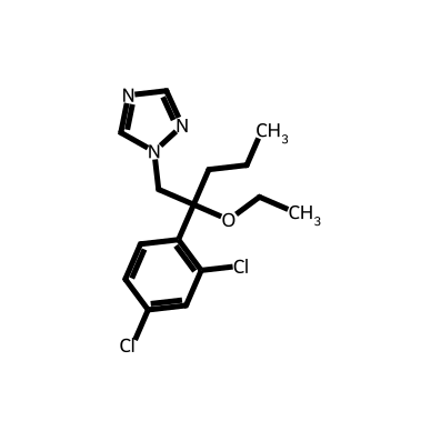 CCCC(Cn1cncn1)(OCC)c1ccc(Cl)cc1Cl